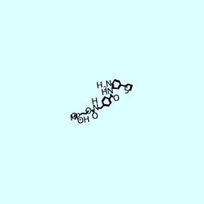 Nc1ccc(-c2cccs2)cc1NC(=O)c1ccc(CNC(=O)OCC[PH](=O)O)cc1